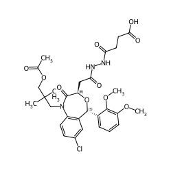 COc1cccc([C@H]2O[C@H](CC(=O)NNC(=O)CCC(=O)O)C(=O)N(CC(C)(C)COC(C)=O)c3ccc(Cl)cc32)c1OC